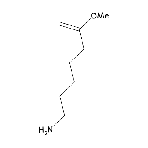 C=C(CCCCCN)OC